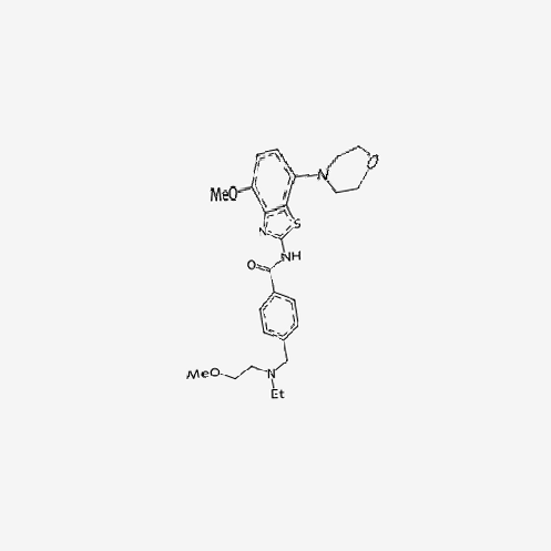 CCN(CCOC)Cc1ccc(C(=O)Nc2nc3c(OC)ccc(N4CCOCC4)c3s2)cc1